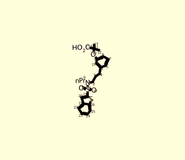 CCCN(CCCc1cccc(OC(C)(C)C(=O)O)c1)S(=O)(=O)c1cc2ccccc2s1